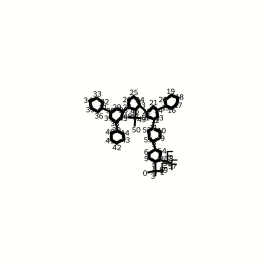 CC(C)(C)c1ccc(-c2ccc(-c3cc(-c4ccccc4)cc(-c4cccc(-c5cc(-c6ccccc6)cc(-c6ccccc6)c5)c4C(C)(C)C)c3)cc2)cc1C(F)(F)F